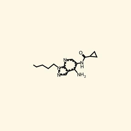 CCCCCn1ncc2c(N)c(NC(=O)C3CC3)cnc21